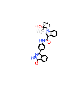 CC(C)(O)Cn1cc(C(=O)Nc2ccc(-c3n[nH]c(=O)c4ccccc34)cc2)c2ccccc21